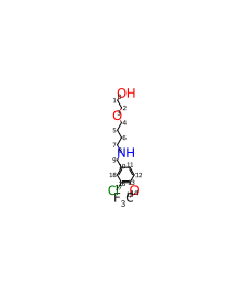 OCCOCCCCNCc1ccc(OC(F)(F)F)c(Cl)c1